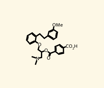 COc1cccc(CCc2ccccc2OCC(CN(C)C)OC(=O)c2ccc(C(=O)O)cc2)c1